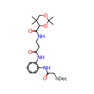 CCCCCCCCCCCC(=O)Nc1ccccc1NC(=O)CCNC(=O)C1OC(C)(C)OCC1(C)C